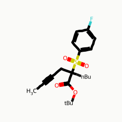 CC#CCC(CCCC)(C(=O)OC(C)(C)C)S(=O)(=O)c1ccc(F)cc1